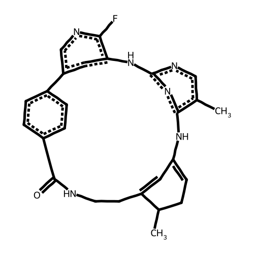 Cc1cnc2nc1NC1=CCC(C)C(=C1)CCNC(=O)c1ccc(cc1)-c1cnc(F)c(c1)N2